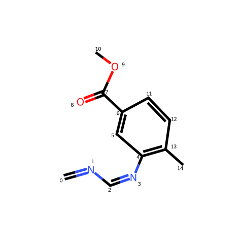 C=N/C=N\c1cc(C(=O)OC)ccc1C